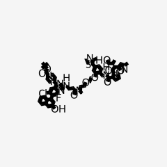 Cc1cc([C@@H](C(=O)N2CCCC2C(=O)NCc2ccc(-c3scnc3C)cc2OCCOCCN(C)C(=O)CCNc2nc(N3CCN(C(=O)OC(C)(C)C)CC3)c3cc(Cl)c(-c4cc(O)cc5ccccc45)c(F)c3n2)C(C)CO)on1